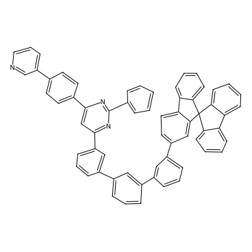 c1ccc(-c2nc(-c3ccc(-c4cccnc4)cc3)cc(-c3cccc(-c4cccc(-c5cccc(-c6ccc7c(c6)C6(c8ccccc8-c8ccccc86)c6ccccc6-7)c5)c4)c3)n2)cc1